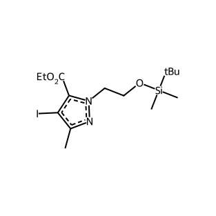 CCOC(=O)c1c(I)c(C)nn1CCO[Si](C)(C)C(C)(C)C